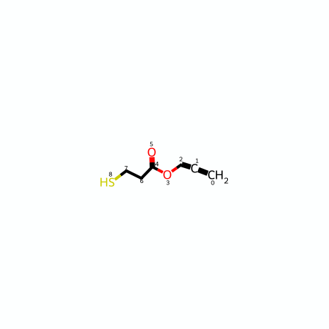 C=C=COC(=O)CCS